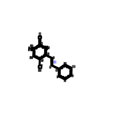 O=c1nc(/C=C/c2ccccc2)c(Cl)c[nH]1